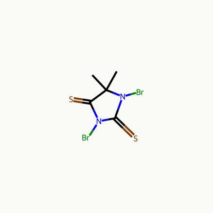 CC1(C)C(=S)N(Br)C(=S)N1Br